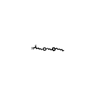 CCCCCCCc1ccc(CCCC[C@H]2CC[C@H](CCC=CC=C(F)C#N)CC2)cc1